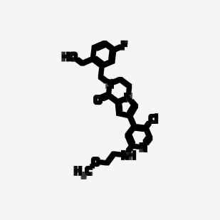 COCCNc1cc(-c2cc3n(c2)CCN(Cc2cc(F)ccc2CO)C3=O)c(Cl)cn1